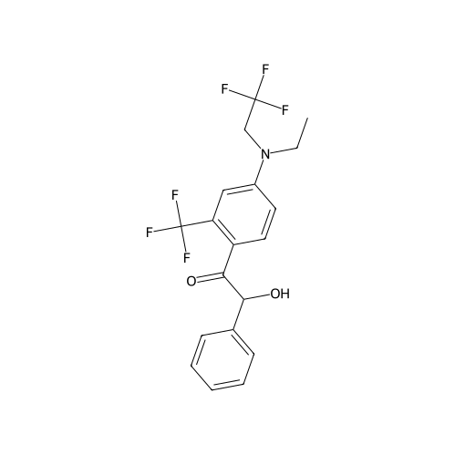 CCN(CC(F)(F)F)c1ccc(C(=O)C(O)c2ccccc2)c(C(F)(F)F)c1